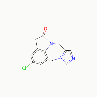 Cn1cncc1CN1C(=O)Cc2cc(Cl)ccc21